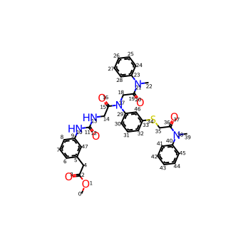 COC(=O)Cc1cccc(NC(=O)NCC(=O)N(CC(=O)N(C)c2ccccc2)c2cccc(SCC(=O)N(C)c3ccccc3)c2)c1